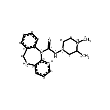 CC1CN(NC(=O)N2c3ccccc3CNc3cccnc32)CCN1C